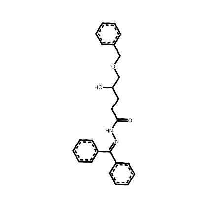 O=C(CCC(O)COCc1ccccc1)NN=C(c1ccccc1)c1ccccc1